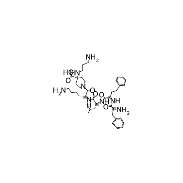 CC(C)C[C@@H](NC(=O)[C@@H](CCc1ccccc1)NC(=O)[C@H](N)Cc1ccccc1)C(=O)N[C@H](CCCCN)C(=O)N1CCC(NCCCN)(C(=O)O)CC1